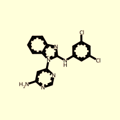 Nc1cc(-n2c(Nc3cc(Cl)cc(Cl)c3)nc3ccccc32)ncn1